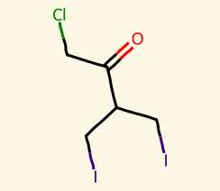 O=C(CCl)C(CI)CI